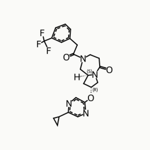 O=C(Cc1cccc(C(F)(F)F)c1)N1CCC(=O)N2C[C@H](Oc3cnc(C4CC4)cn3)C[C@H]2C1